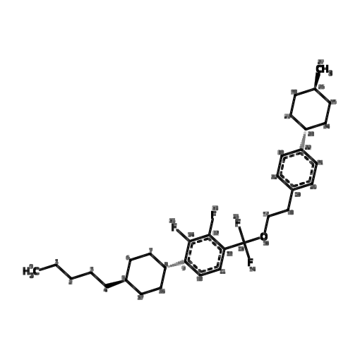 CCCCC[C@H]1CC[C@H](c2ccc(C(F)(F)OCCc3ccc([C@H]4CC[C@H](C)CC4)cc3)c(F)c2F)CC1